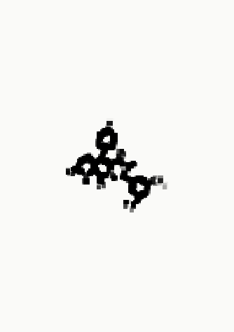 CN(Cc1cc(C(F)(F)F)cc(C(F)(F)F)c1)C(=O)c1c(-c2ccc(F)cc2)c2ccc(=O)n(C)c2c(=O)n1C